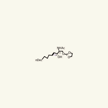 CCCCCCCCCCCCC/C=C/[C@@H](O)[C@H](COP1OCCO1)NC(C)=O